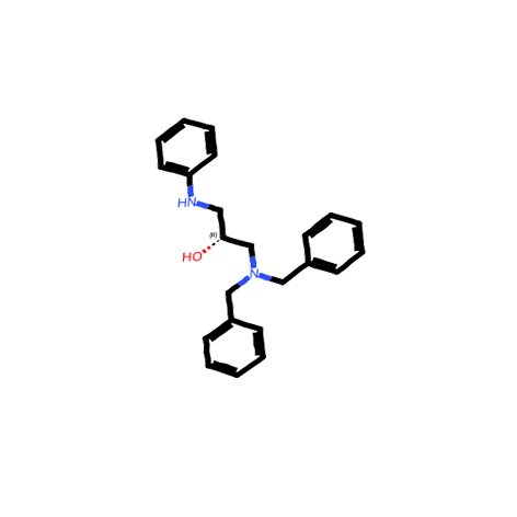 O[C@H](CNc1ccccc1)CN(Cc1ccccc1)Cc1ccccc1